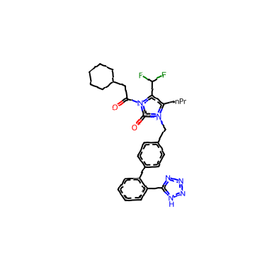 CCCc1c(C(F)F)n(C(=O)CC2CCCCC2)c(=O)n1Cc1ccc(-c2ccccc2-c2nnn[nH]2)cc1